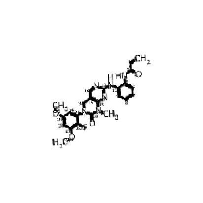 C=CC(=O)Nc1ccccc1Nc1ncc2c(n1)N(C)C(=O)N(c1cc(OC)cc(OC)c1F)C2